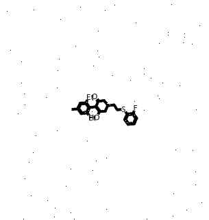 CCc1cc(C)cc(CC)c1C1=C(O)CC(CCSc2ccccc2F)CC1=O